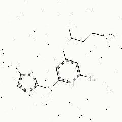 CCCC(CCNC)Oc1cc(N)nc(Nc2ncc(C)s2)c1